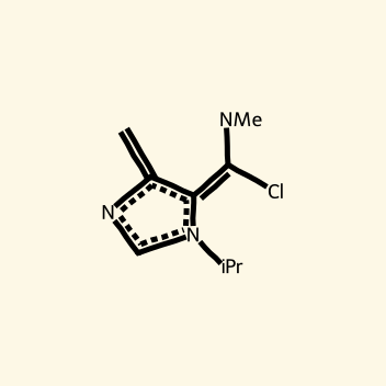 C=c1ncn(C(C)C)/c1=C(\Cl)NC